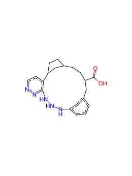 O=C(O)C1CCC2CCC(C2)c2ccnnc2NNNc2cccc(c2)C1